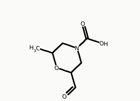 CC1CN(C(=O)O)CC(C=O)O1